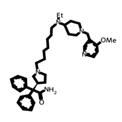 CCN(CCCCCCCN1CC[C@@H](C(C(N)=O)(c2ccccc2)c2ccccc2)C1)C1CCN(Cc2cnccc2OC)CC1